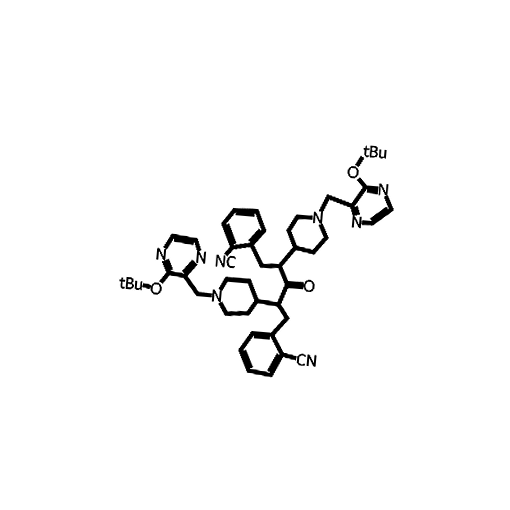 CC(C)(C)Oc1nccnc1CN1CCC(C(Cc2ccccc2C#N)C(=O)C(Cc2ccccc2C#N)C2CCN(Cc3nccnc3OC(C)(C)C)CC2)CC1